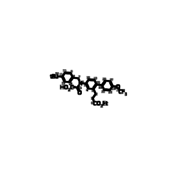 CCOC(=O)CCc1cc(N(Cc2ccc(C(C)(C)C)cc2)C(=O)C(=O)O)ccc1-c1ccc(OC(F)(F)F)cc1